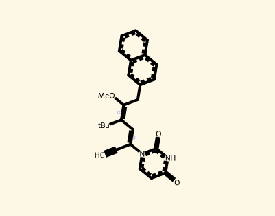 C#C/C(=C\C(=C(/Cc1ccc2ccccc2c1)OC)C(C)(C)C)n1ccc(=O)[nH]c1=O